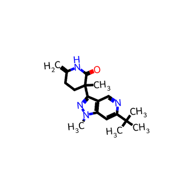 C=C1CCC(C)(c2nn(C)c3cc(C(C)(C)C)ncc23)C(=O)N1